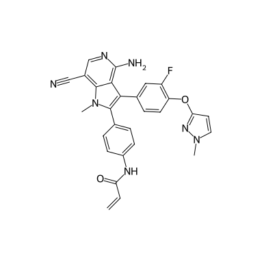 C=CC(=O)Nc1ccc(-c2c(-c3ccc(Oc4ccn(C)n4)c(F)c3)c3c(N)ncc(C#N)c3n2C)cc1